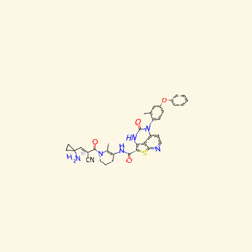 CC1=C(NC(=O)c2sc3nccc4c3c2NC(=O)N4c2ccc(Oc3ccccc3)cc2C)CCCN1C(=O)/C(C#N)=C/C1(N)CC1